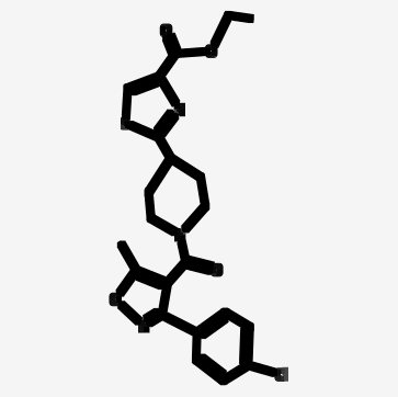 CCOC(=O)c1csc(C2CCN(C(=O)c3c(-c4ccc(Cl)cc4)noc3C)CC2)n1